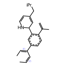 C=C(C)c1ccc(C(/C=C\C)=C/C)cc1C1C=C(CC(C)C)C=CN1